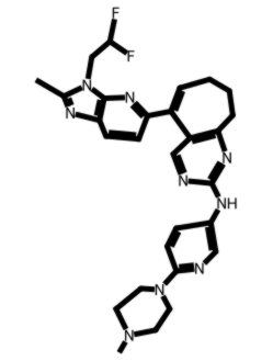 Cc1nc2ccc(C3=CCCCc4nc(Nc5ccc(N6CCN(C)CC6)nc5)ncc43)nc2n1CC(F)F